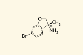 C[C@]1(N)COc2cc(Br)ccc21